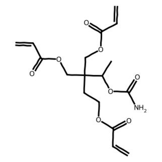 C=CC(=O)OCCC(COC(=O)C=C)(COC(=O)C=C)C(C)OC(N)=O